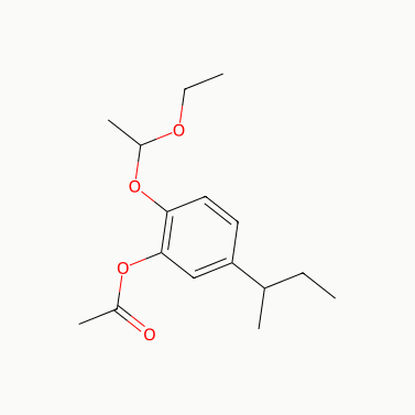 CCOC(C)Oc1ccc(C(C)CC)cc1OC(C)=O